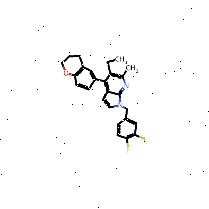 CCc1c(C)nc2c(ccn2Cc2ccc(F)c(F)c2)c1-c1ccc2c(c1)CCCO2